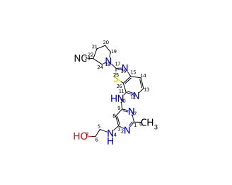 Cc1nc(NCCO)cc(Nc2nccc3nc(N4CCCC(C#N)C4)sc23)n1